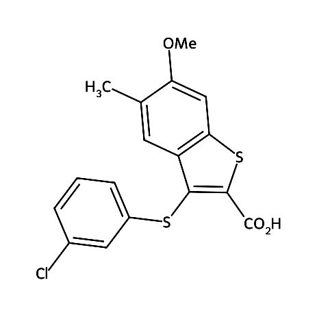 COc1cc2sc(C(=O)O)c(Sc3cccc(Cl)c3)c2cc1C